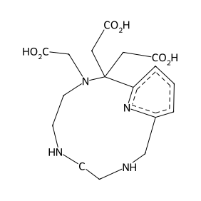 O=C(O)CN1CCNCCNCc2cccc(n2)C1(CC(=O)O)CC(=O)O